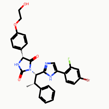 C[C@@H](c1ccccc1)[C@@H](c1ncc(-c2ccc(Br)cc2F)[nH]1)N1C(=O)N[C@H](c2ccc(OCCO)cc2)C1=O